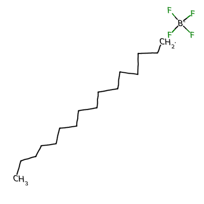 F[B-](F)(F)F.[CH2]CCCCCCCCCCCCCCC